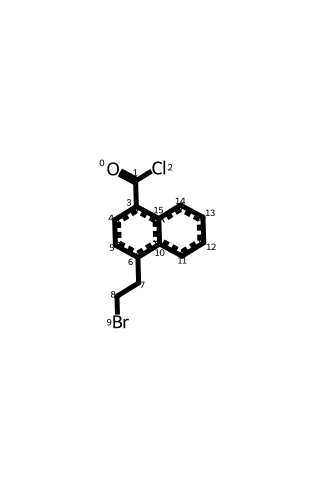 O=C(Cl)c1ccc(CCBr)c2ccccc12